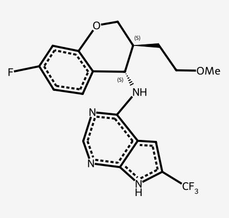 COCC[C@@H]1COc2cc(F)ccc2[C@H]1Nc1ncnc2[nH]c(C(F)(F)F)cc12